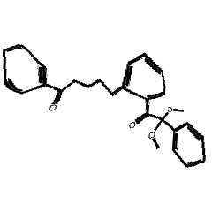 COC(OC)(C(=O)c1ccccc1CCCCC(=O)c1ccccc1)c1ccccc1